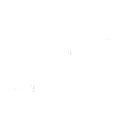 O=C1COC2(CCN(c3ccc([C@H]4CCC(=O)NC4=O)cc3)CC2)C1